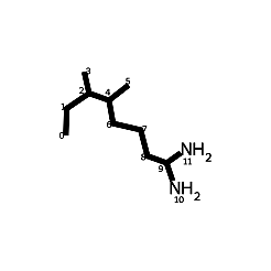 CCC(C)C(C)CCCC(N)N